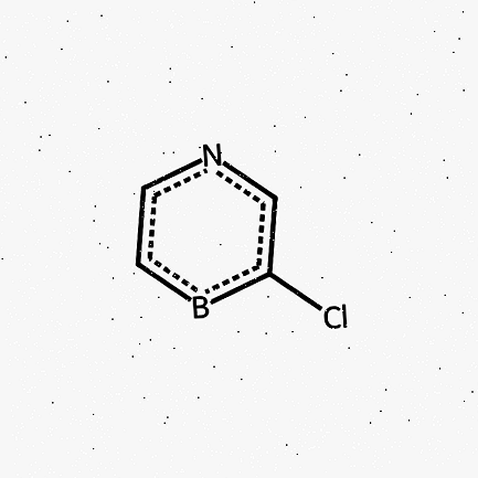 Clc1bccnc1